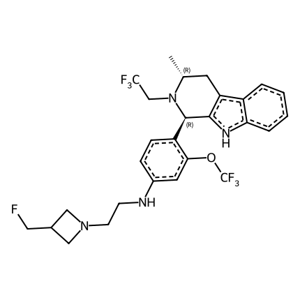 C[C@@H]1Cc2c([nH]c3ccccc23)[C@@H](c2ccc(NCCN3CC(CF)C3)cc2OC(F)(F)F)N1CC(F)(F)F